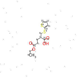 CCOC(=O)CCC(CSc1cccs1)C(=O)O